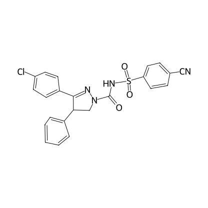 N#Cc1ccc(S(=O)(=O)NC(=O)N2CC(c3ccccc3)C(c3ccc(Cl)cc3)=N2)cc1